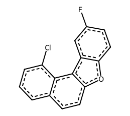 Fc1ccc2oc3ccc4cccc(Cl)c4c3c2c1